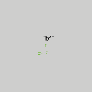 [F-].[F-].[F-].[Tb+3]